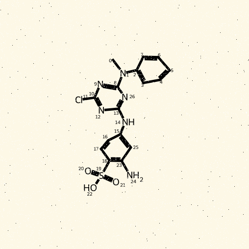 CN(c1ccccc1)c1nc(Cl)nc(Nc2ccc(S(=O)(=O)O)c(N)c2)n1